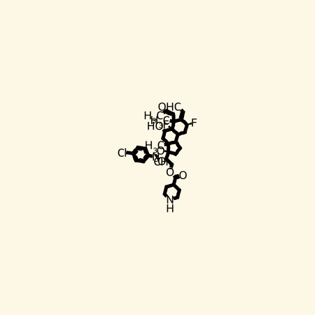 C/C=C\C1(C)/C(=C\C=O)[C@@H](F)CC2C3CC[C@](ON(C)c4ccc(Cl)cc4)(C(=O)COC(=O)C4CCNCC4)C3(C)CC(O)[C@@]21F